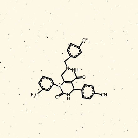 N#Cc1ccc(C2NC(=O)N(c3cccc(C(F)(F)F)c3)C3=C2C(=O)NN(Cc2ccc(C(F)(F)F)cc2)C3)cc1